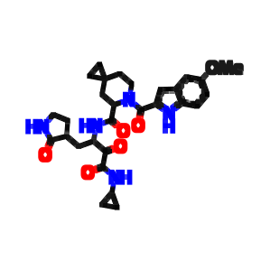 COc1ccc2[nH]c(C(=O)N3CCC4(CC4)CC3C(=O)NC(CC3CCNC3=O)C(=O)C(=O)NC3CC3)cc2c1